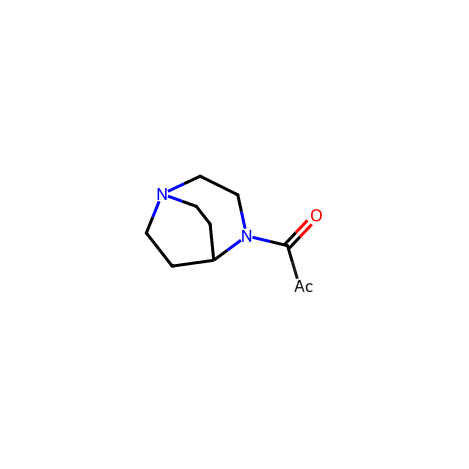 CC(=O)C(=O)N1CCN2CCC1CC2